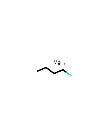 CCCCF.[MgH2]